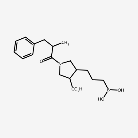 CC(Cc1ccccc1)C(=O)N1CC(CCCB(O)O)C(C(=O)O)C1